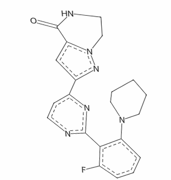 O=C1NCCn2nc(-c3ccnc(-c4c(F)cccc4N4CCCCC4)n3)cc21